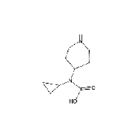 O=C(O)N(C1CCNCC1)C1CC1